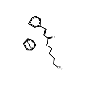 CCCCCOC(=O)C=Cc1ccccc1.c1cc2ccc1CO2